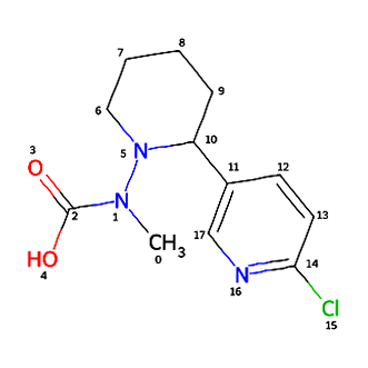 CN(C(=O)O)N1CCCCC1c1ccc(Cl)nc1